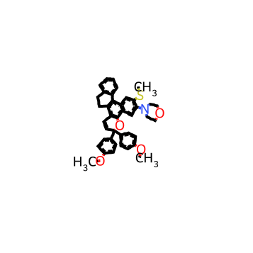 COc1ccc(C2(c3ccc(OC)cc3)C=Cc3c4c(c5cc(SC)c(N6CCOCC6)cc5c3O2)-c2ccccc2CC4)cc1